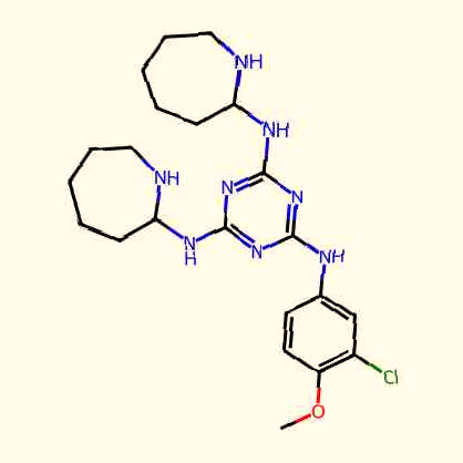 COc1ccc(Nc2nc(NC3CCCCCN3)nc(NC3CCCCCN3)n2)cc1Cl